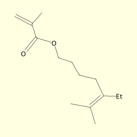 C=C(C)C(=O)OCCCCC(CC)=C(C)C